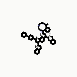 C=C1/C=C\C=C/C/C=C(/c2cc(C3=Cc4ccccc4CN3)c3ccc4c(-c5ccc6ccccc6n5)cc(-c5ccc(-c6ccccc6)cc5)nc4c3n2)c2ccccc21